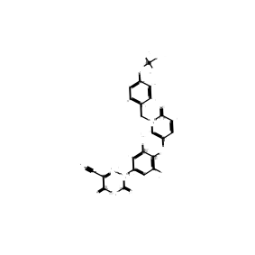 N#Cc1nn(-c2cc(Cl)c(Oc3ccc(=O)n(Cc4ccc(OC(F)(F)F)cc4)c3)c(Cl)c2)c(=O)[nH]c1=O